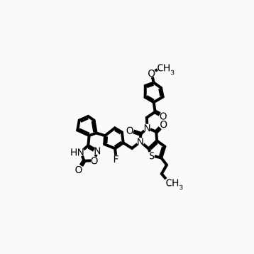 CCCc1cc2c(=O)n(CC(=O)c3ccc(OC)cc3)c(=O)n(Cc3ccc(-c4ccccc4-c4noc(=O)[nH]4)cc3F)c2s1